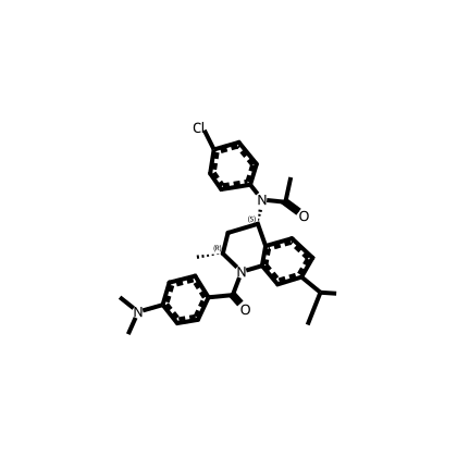 CC(=O)N(c1ccc(Cl)cc1)[C@H]1C[C@@H](C)N(C(=O)c2ccc(N(C)C)cc2)c2cc(C(C)C)ccc21